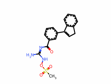 CS(=O)(=O)ONC(N)=NC(=O)c1cccc(C2=CCc3ccccc32)c1